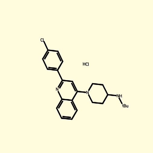 CC(C)(C)NC1CCN(c2cc(-c3ccc(Cl)cc3)nc3ccccc23)CC1.Cl